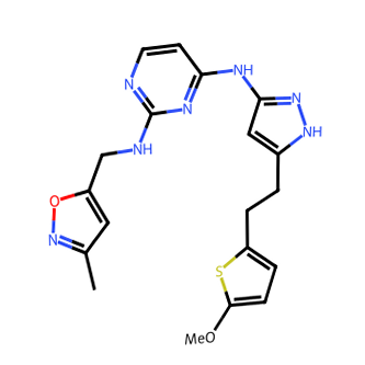 COc1ccc(CCc2cc(Nc3ccnc(NCc4cc(C)no4)n3)n[nH]2)s1